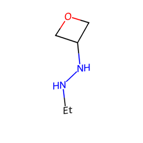 CCNNC1COC1